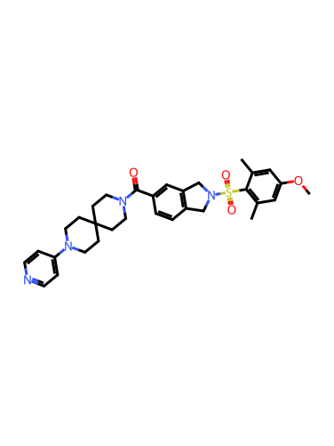 COc1cc(C)c(S(=O)(=O)N2Cc3ccc(C(=O)N4CCC5(CC4)CCN(c4ccncc4)CC5)cc3C2)c(C)c1